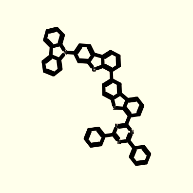 c1ccc(-c2nc(-c3ccccc3)nc(-c3cccc4c3sc3ccc(-c5cccc6c5oc5cc(-n7c8ccccc8c8ccccc87)ccc56)cc34)n2)cc1